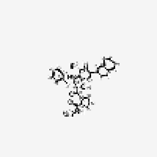 CC(C)[C@H](NC(=O)c1ccc2ccccc2n1)C(=O)N[C@@H](Cc1ccccc1)[C@H](O)C(=O)N1CCC[C@H]1C(=O)NC(C)(C)C